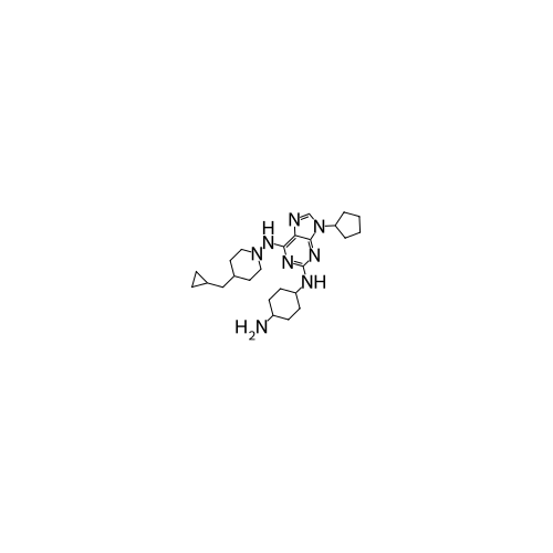 NC1CCC(Nc2nc(NN3CCC(CC4CC4)CC3)c3ncn(C4CCCC4)c3n2)CC1